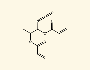 C=CC(=O)OC(C)C(N=C=O)OC(=O)C=C